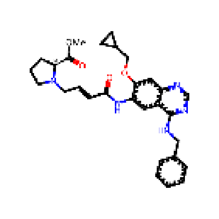 COC(=O)[C@@H]1CCCN1CC=CC(=O)Nc1cc2c(NCc3ccccc3)ncnc2cc1OCC1CC1